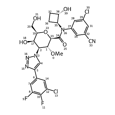 CO[C@@H]1[C@@H](n2cc(-c3cc(F)c(F)c(Cl)c3)nn2)[C@@H](O)[C@@H](CO)O[C@H]1C(=O)N(c1cc(Cl)cc(C#N)c1)[C@H]1CC[C@@H]1O